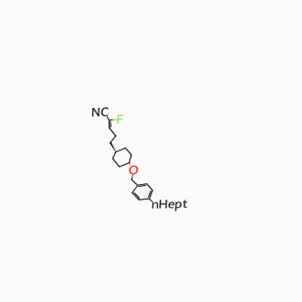 CCCCCCCc1ccc(CO[C@H]2CC[C@H](CC/C=C(\F)C#N)CC2)cc1